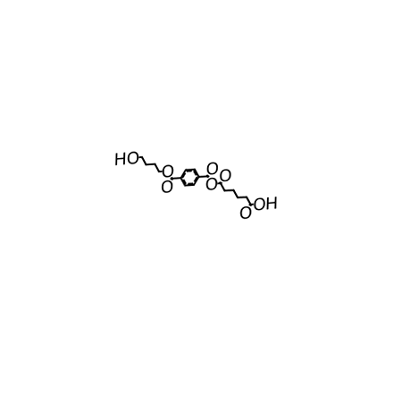 O=C(O)CCCCC(=O)OC(=O)c1ccc(C(=O)OCCCCO)cc1